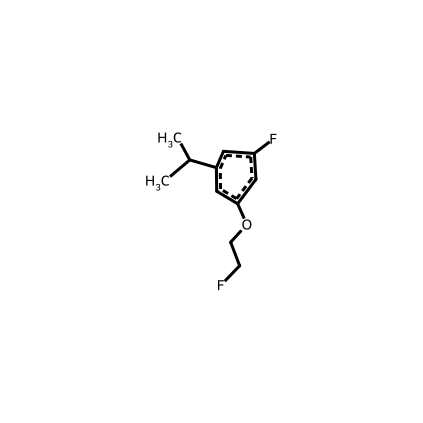 CC(C)c1cc(F)cc(OCCF)c1